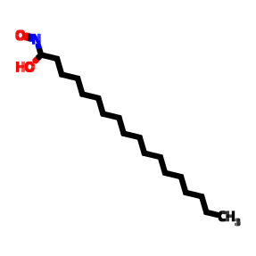 CCCCCCCCCCCCCCCCCC(O)N=O